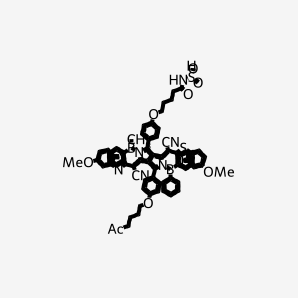 COc1ccc2sc(/C(C#N)=c3/c4c(-c5ccc(OCCCCC(C)=O)cc5)n(B(c5ccccc5)c5ccccc5)/c(=C(/C#N)c5nc6cc(OC)ccc6s5)c4c(-c4ccc(OCCCCC(=O)N[SH](=O)=O)cc4)n3B(C)c3ccccc3)nc2c1